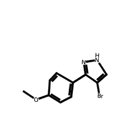 COc1ccc(-c2n[nH]cc2Br)cc1